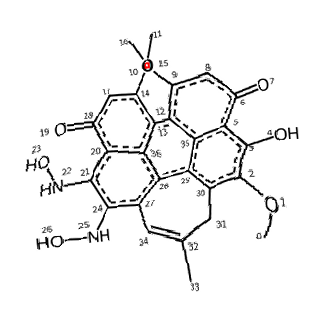 COc1c(O)c2c(=O)cc(OC)c3c4c(OC)cc(=O)c5c(NO)c(NO)c6c(c(c1CC(C)=C6)c23)c54